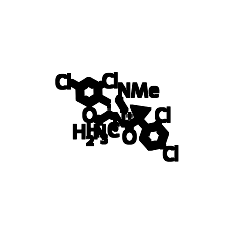 CNCC[N+](C)(C(=O)C1(c2ccc(Cl)cc2Cl)CC1)[C@@H](Cc1ccc(Cl)cc1Cl)C(N)=O